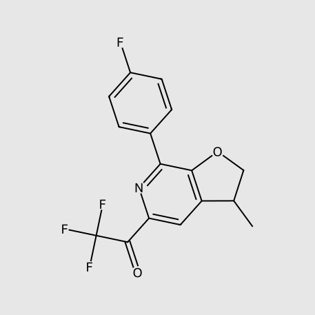 CC1COc2c1cc(C(=O)C(F)(F)F)nc2-c1ccc(F)cc1